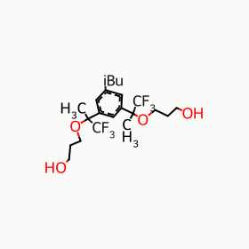 CCC(C)c1cc(C(C)(OCCCO)C(F)(F)F)cc(C(C)(OCCCO)C(F)(F)F)c1